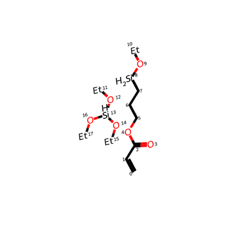 C=CC(=O)OCCC[SiH2]OCC.CCO[SiH](OCC)OCC